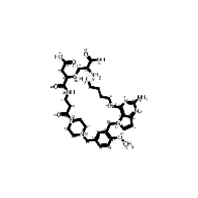 CCCCCNc1nc(N)nc2ccn(Cc3cc(CN4CCN(C(=O)CCNC(=O)C(CC(=O)O)SCC(N)C(=O)O)CC4)ccc3OC)c12